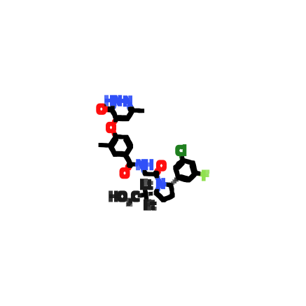 CCC(CC)(C(=O)O)[C@H]1CC[C@@H](c2cc(F)cc(Cl)c2)N1C(=O)CNC(=O)c1ccc(Oc2cc(C)n[nH]c2=O)c(C)c1